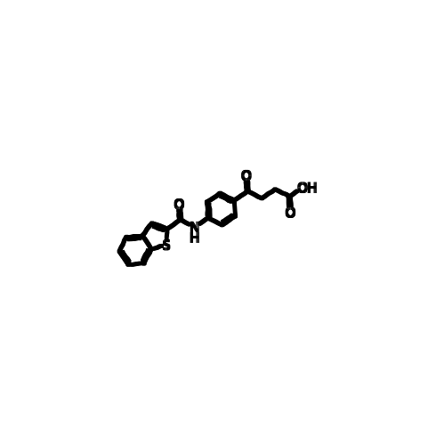 O=C(O)CCC(=O)c1ccc(NC(=O)c2cc3ccccc3s2)cc1